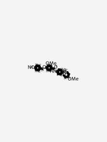 COc1cc(C(=O)Nc2ccc([N+]3([O-])CCC(OC)CC3)cc2)ccc1OCc1ccc(C#N)cc1